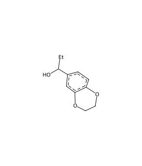 CCC(O)c1ccc2c(c1)OCCO2